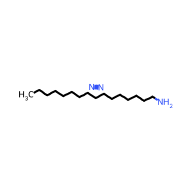 CCCCCCCCCCCCCCCCN.N#N